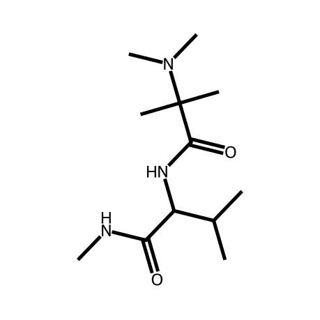 CNC(=O)C(NC(=O)C(C)(C)N(C)C)C(C)C